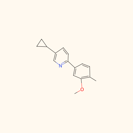 COc1cc(-c2ccc(C3CC3)cn2)ccc1C